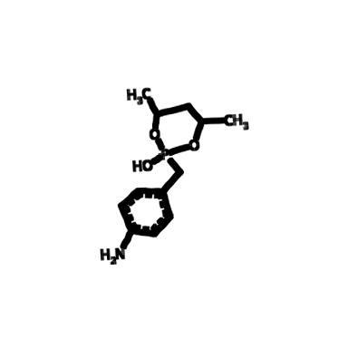 CC1CC(C)O[P](O)(Cc2ccc(N)cc2)O1